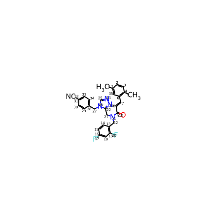 Cc1ccc(C)c(/C=C/C(=O)N(Cc2ccc(F)cc2F)Cc2nncn2Cc2ccc(C#N)cc2)c1